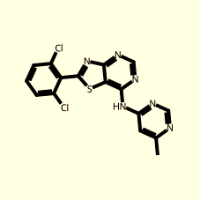 Cc1cc(Nc2ncnc3nc(-c4c(Cl)cccc4Cl)sc23)ncn1